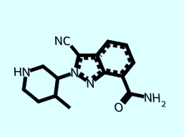 CC1CCNCC1n1nc2c(C(N)=O)cccc2c1C#N